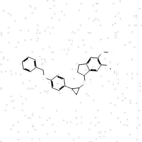 COc1cc2c(cc1OC)C(NC1CC1c1ccc(OCc3ccccc3)cc1)CC2.Cl